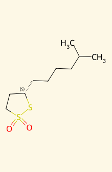 CC(C)CCCC[C@H]1CCS(=O)(=O)S1